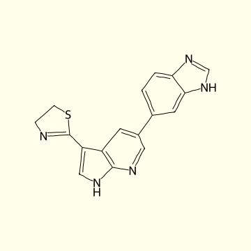 c1nc2ccc(-c3cnc4[nH]cc(C5=NCCS5)c4c3)cc2[nH]1